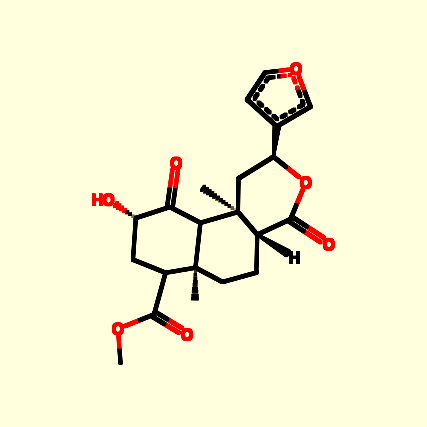 COC(=O)C1C[C@H](O)C(=O)C2[C@@]1(C)CC[C@H]1C(=O)O[C@H](c3ccoc3)C[C@]21C